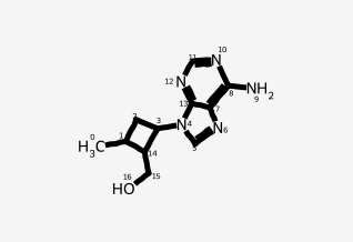 CC1CC(n2cnc3c(N)ncnc32)C1CO